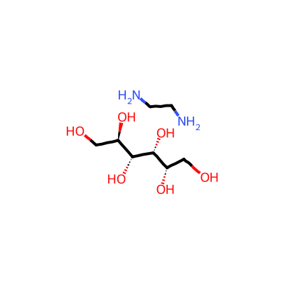 NCCN.OC[C@@H](O)[C@@H](O)[C@H](O)[C@@H](O)CO